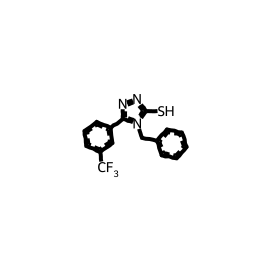 FC(F)(F)c1cccc(-c2nnc(S)n2Cc2ccccc2)c1